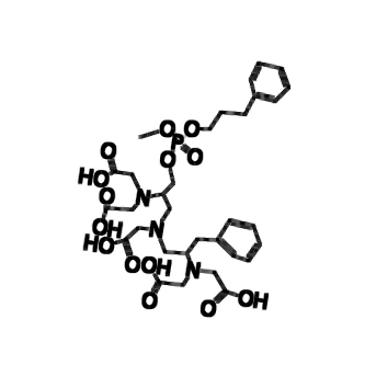 COP(=O)(OCCCc1ccccc1)OCC(CN(CC(=O)O)CC(Cc1ccccc1)N(CC(=O)O)CC(=O)O)N(CC(=O)O)CC(=O)O